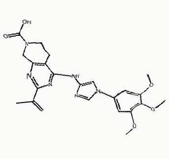 C=C(C)c1nc2c(c(Nc3cn(-c4cc(OC)c(OC)c(OC)c4)cn3)n1)CCN(C(=O)O)C2